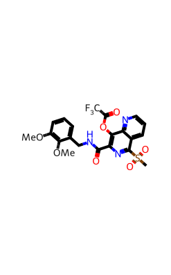 COc1cccc(CNC(=O)c2nc(S(C)(=O)=O)c3cccnc3c2OC(=O)C(F)(F)F)c1OC